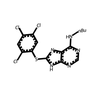 CCCCNc1ncnc2[nH]c(Sc3cc(Cl)c(Cl)cc3Cl)nc12